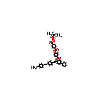 C#Cc1ccc(C#Cc2ccc(C#CC3(OC(=O)c4ccc(OC(=O)C5CCC(C(=O)OCOC(=O)C(=C)C)CC5)cc4)CCC(C4CCCCC4)CC3)cc2)cc1